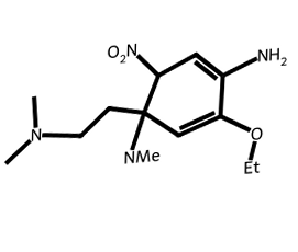 CCOC1=CC(CCN(C)C)(NC)C([N+](=O)[O-])C=C1N